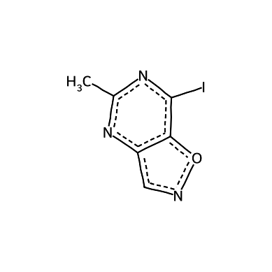 Cc1nc(I)c2oncc2n1